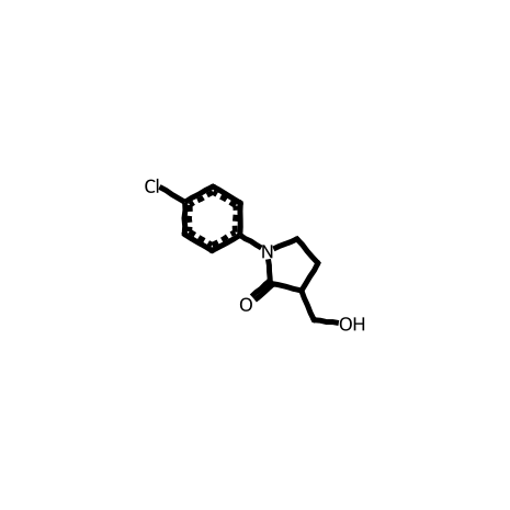 O=C1C(CO)CCN1c1ccc(Cl)cc1